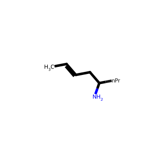 CC=CCC(N)CCC